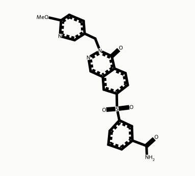 COc1ccc(Cn2ncc3cc(S(=O)(=O)c4cccc(C(N)=O)c4)ccc3c2=O)cn1